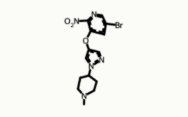 CN1CCC(n2cc(Oc3cc(Br)cnc3[N+](=O)[O-])cn2)CC1